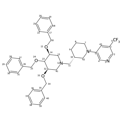 FC(F)(F)c1cncc(N2CCC[C@@H](CN3C[C@H](OCc4ccccc4)C(OCc4ccccc4)[C@H](OCc4ccccc4)C3)C2)c1